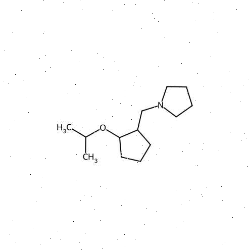 CC(C)OC1CCCC1CN1CCCC1